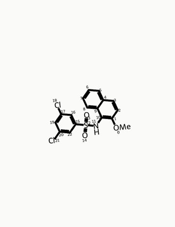 COc1ccc2ccccc2c1NS(=O)(=O)c1cc(Cl)cc(Cl)c1